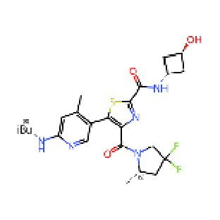 CC[C@@H](C)Nc1cc(C)c(-c2sc(C(=O)N[C@H]3C[C@H](O)C3)nc2C(=O)N2CC(F)(F)C[C@@H]2C)cn1